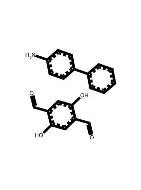 Nc1ccc(-c2ccccc2)cc1.O=Cc1cc(O)c(C=O)cc1O